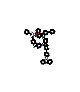 N/C(=N\C(=N/Cc1ccccc1)c1ccc2sc3ccc(-n4c5cc(-c6ccc(-n7c8ccccc8c8ccccc87)cc6)ccc5c5ccc(-n6c7ccccc7c7ccc(-c8ccccc8)cc76)cc54)cc3c2c1)c1ccccc1